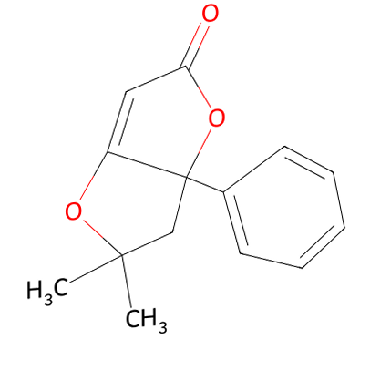 CC1(C)CC2(c3ccccc3)OC(=O)C=C2O1